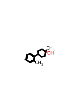 Cc1c[c]ccc1C1CCC(C)(O)CC1